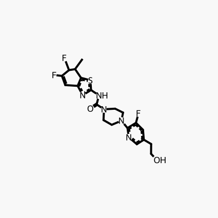 CC1c2sc(NC(=O)N3CCN(c4ncc(CCO)cc4F)CC3)nc2C=C(F)C1F